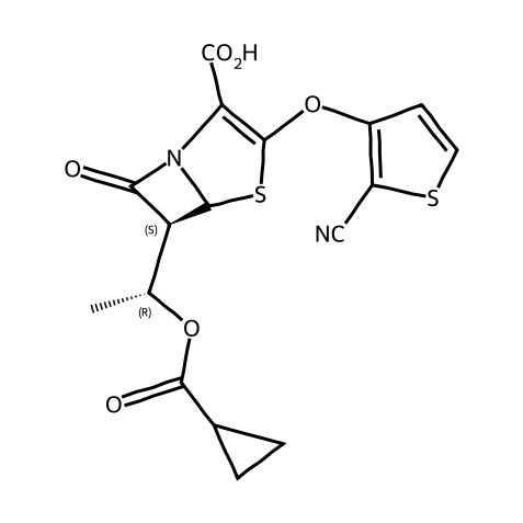 C[C@@H](OC(=O)C1CC1)[C@H]1C(=O)N2C(C(=O)O)=C(Oc3ccsc3C#N)SC12